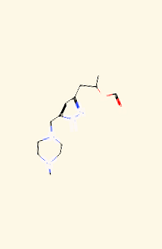 CC(Cc1cc(CN2CCN(C)CC2)[nH]n1)OC=O